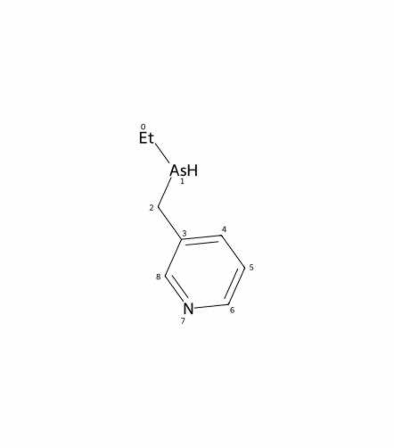 CC[AsH]Cc1cccnc1